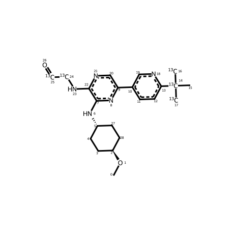 CO[C@H]1CC[C@H](Nc2nc(-c3ccc([13C](C)([13CH3])[13CH3])nc3)cnc2N[13CH2][13CH]=O)CC1